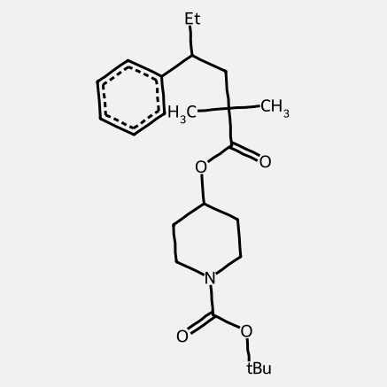 CCC(CC(C)(C)C(=O)OC1CCN(C(=O)OC(C)(C)C)CC1)c1ccccc1